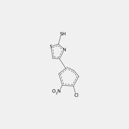 O=[N+]([O-])c1cc(-c2csc(S)n2)ccc1Cl